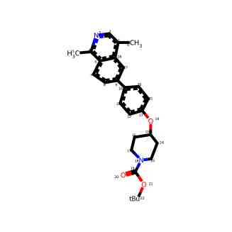 Cc1cnc(C)c2ccc(-c3ccc(OC4CCN(C(=O)OC(C)(C)C)CC4)cc3)cc12